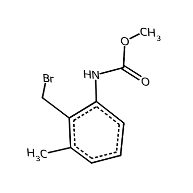 COC(=O)Nc1cccc(C)c1CBr